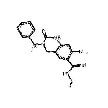 CCNC(=N)c1cc2c(cc1N)NC(=O)N([C@H](C)c1ccccc1)C2